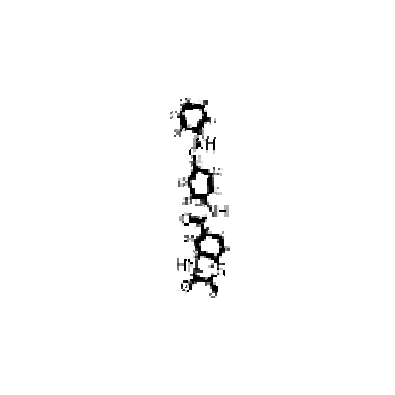 CC1Sc2ccc(C(=O)Nc3ccc(SNc4ccccc4)cc3)cc2NC1=O